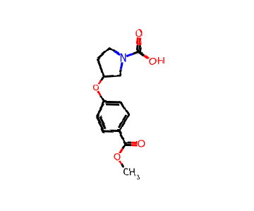 COC(=O)c1ccc(OC2CCN(C(=O)O)C2)cc1